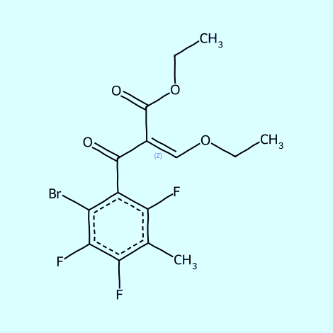 CCO/C=C(\C(=O)OCC)C(=O)c1c(F)c(C)c(F)c(F)c1Br